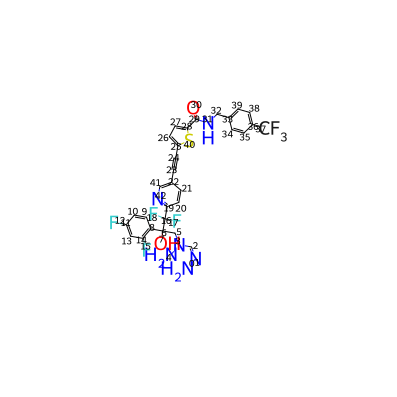 N/N=C\N(N)CC(O)(c1ccc(F)cc1F)C(F)(F)c1ccc(C#Cc2ccc(C(=O)NCc3ccc(C(F)(F)F)cc3)s2)cn1